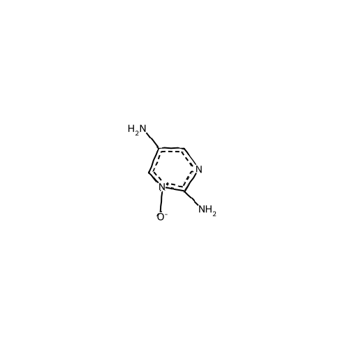 Nc1cnc(N)[n+]([O-])c1